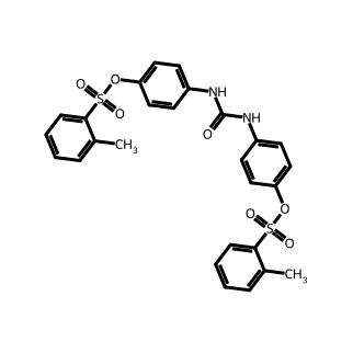 Cc1ccccc1S(=O)(=O)Oc1ccc(NC(=O)Nc2ccc(OS(=O)(=O)c3ccccc3C)cc2)cc1